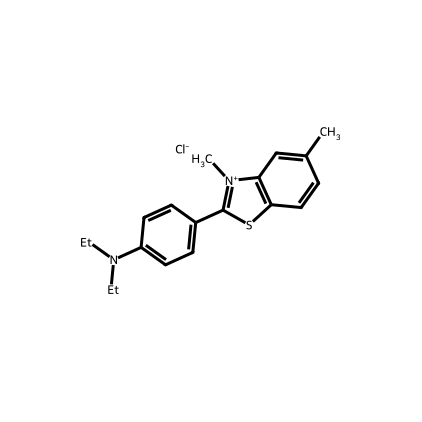 CCN(CC)c1ccc(-c2sc3ccc(C)cc3[n+]2C)cc1.[Cl-]